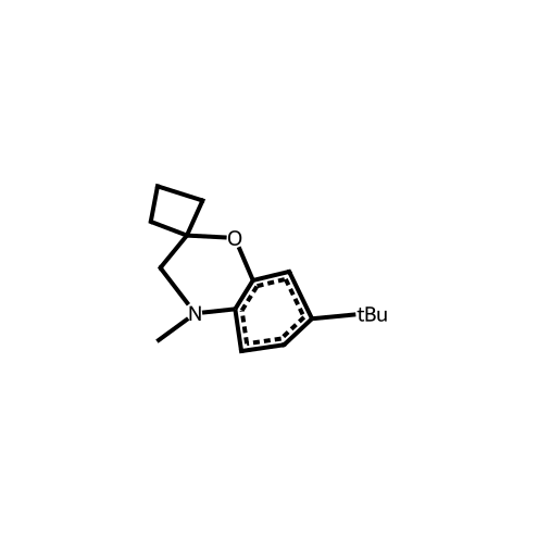 CN1CC2(CCC2)Oc2cc(C(C)(C)C)ccc21